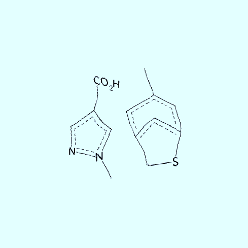 Cc1cc2cc(c1)SC2.Cn1cc(C(=O)O)cn1